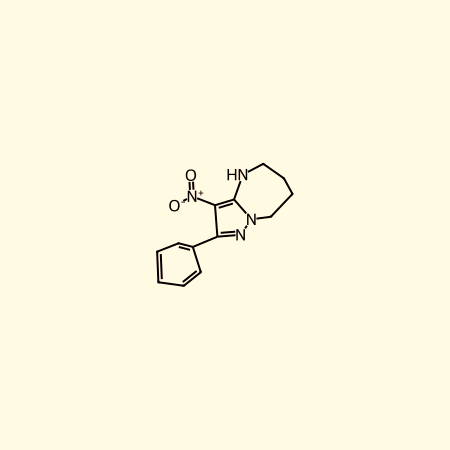 O=[N+]([O-])c1c(-c2ccccc2)nn2c1NCCCC2